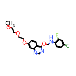 COCCOCCOc1ccc2c(OCNc3ccc(Cl)cc3F)ncnc2c1